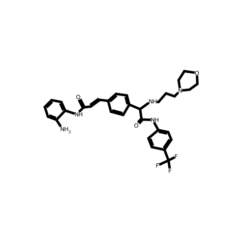 Nc1ccccc1NC(=O)C=Cc1ccc(C(NCCCN2CCOCC2)C(=O)Nc2ccc(C(F)(F)F)cc2)cc1